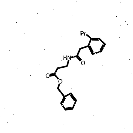 CC(C)c1ccccc1CC(=O)NCCC(=O)OCc1ccccc1